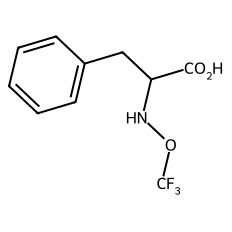 O=C(O)C(Cc1ccccc1)NOC(F)(F)F